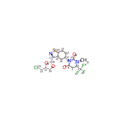 Cn1c(C(F)(F)F)cc(=O)n(-c2ccc3snc(C4OCC(CCl)O4)c3c2)c1=O